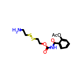 CC(=O)Oc1ccccc1C(=O)NC(=O)OCCSSCCN